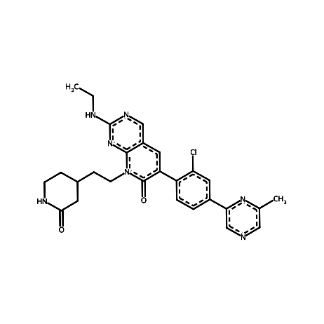 CCNc1ncc2cc(-c3ccc(-c4cncc(C)n4)cc3Cl)c(=O)n(CCC3CCNC(=O)C3)c2n1